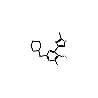 Cc1nc(-c2nc(NC3CCCCC3)nc(C)c2[N+](=O)[O-])c[nH]1